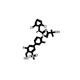 C[C@@H](c1c(Cl)cccc1Cl)c1nc(C(C)(C)O)cn1-c1ccc(-c2cc(F)c(CO)c(S(C)(=O)=O)c2)cc1F